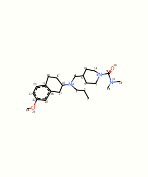 CCCN(CC1CCN(C(=O)N(C)C)CC1)C1CCc2ccc(OC)cc2C1